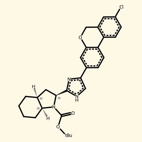 CC(C)(C)OC(=O)N1[C@H](c2nc(-c3ccc4c(c3)OCc3cc(Cl)ccc3-4)c[nH]2)C[C@@H]2CCCC[C@@H]21